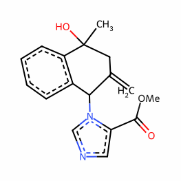 C=C1CC(C)(O)c2ccccc2C1n1cncc1C(=O)OC